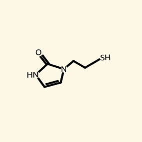 O=c1[nH]ccn1CCS